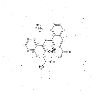 O=C(O)c1cc2ccccc2c(Cc2c(O)c(C(=O)O)cc3ccccc23)c1O.[KH].[KH]